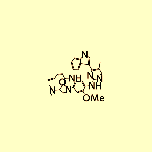 C=C/C=C\C(=O)Nc1cc(Nc2ncc(C)c(-c3cn(C)c4ccccc34)n2)c(OC)cc1N1CC(N(C)C)C1